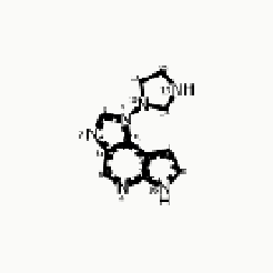 c1cc2c(ncc3ncn(N4CCNC4)c32)[nH]1